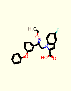 CCON=C(Cn1c(C(=O)O)cc2cc(F)ccc21)c1cccc(Oc2ccccc2)c1